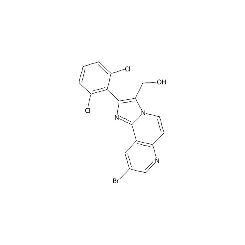 OCc1c(-c2c(Cl)cccc2Cl)nc2c3cc(Br)cnc3ccn12